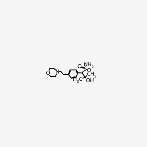 CC(C)(O)C(c1ccc(CCN2CCOCC2)cc1)S(N)(=O)=O